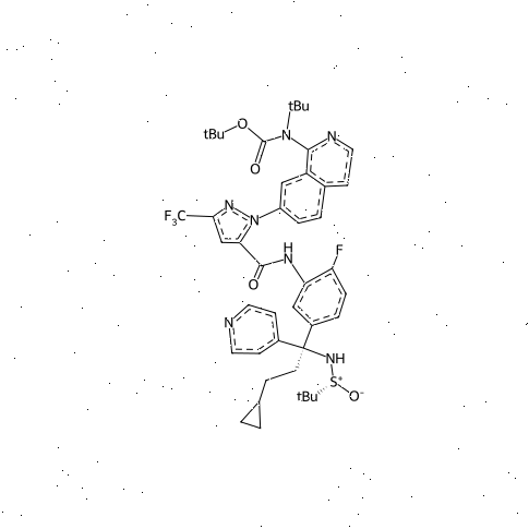 CC(C)(C)OC(=O)N(c1nccc2ccc(-n3nc(C(F)(F)F)cc3C(=O)Nc3cc([C@@](CCC4CC4)(N[S@+]([O-])C(C)(C)C)c4ccncc4)ccc3F)cc12)C(C)(C)C